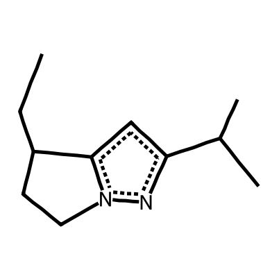 CCC1CCn2nc(C(C)C)cc21